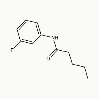 CCCCC(=O)Nc1[c]c(F)ccc1